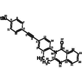 Cc1cc(C#Cc2ccc(C(C)(C)C)cc2)ccc1-n1c(C)nc2ccccc2c1=O